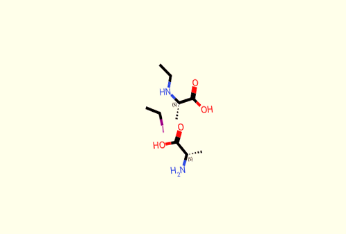 CCI.CCN[C@@H](C)C(=O)O.C[C@H](N)C(=O)O